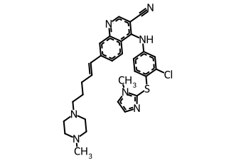 CN1CCN(CCC/C=C/c2ccc3c(Nc4ccc(Sc5nccn5C)c(Cl)c4)c(C#N)cnc3c2)CC1